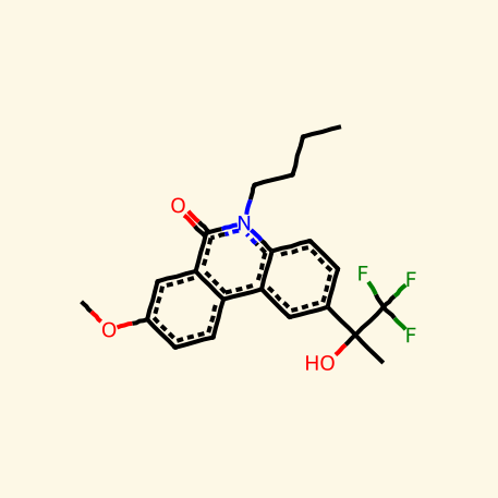 CCCCn1c(=O)c2cc(OC)ccc2c2cc(C(C)(O)C(F)(F)F)ccc21